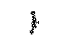 Cc1c(-c2ccc(OCc3ccccc3)c(F)c2)[nH]c2ccc(OCc3ccccc3)cc12